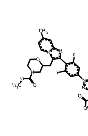 COC(=O)N1CCOC(Cc2c(-c3c(F)cc(-n4ccc(C5(C(=O)O)CC5)n4)cc3F)nc3cc(C)ccn23)C1